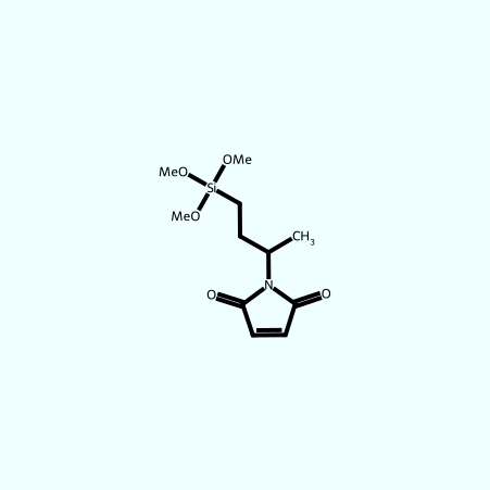 CO[Si](CCC(C)N1C(=O)C=CC1=O)(OC)OC